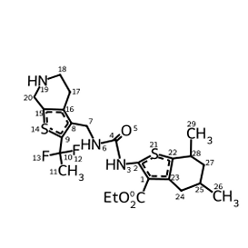 CCOC(=O)c1c(NC(=O)NCc2c(C(C)(F)F)sc3c2CCNC3)sc2c1CC(C)CC2C